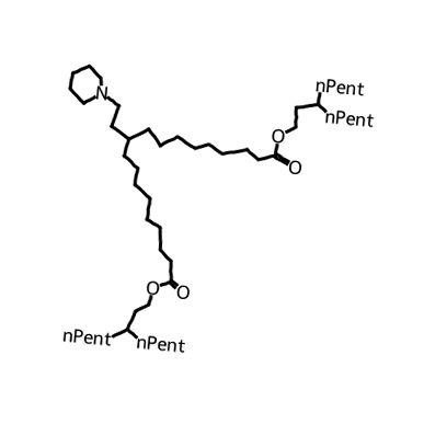 CCCCCC(CCCCC)CCOC(=O)CCCCCCCCC(CCCCCCCCC(=O)OCCC(CCCCC)CCCCC)CCN1CCCCC1